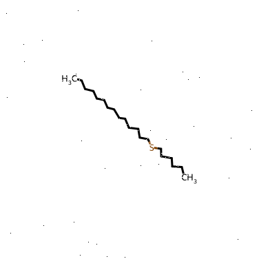 CCCCCCCCCCCCCCSCCCCCC